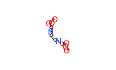 O=C(OCC1CO1)c1ccc(C=Nc2ccc(Cc3ccc(N=Cc4ccc(C(=O)OCC5CO5)cc4)cc3)cc2)cc1